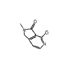 CN1Cc2ccnc(Cl)c2C1=O